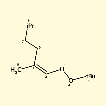 CC(=COOC(C)(C)C)CCC(C)C